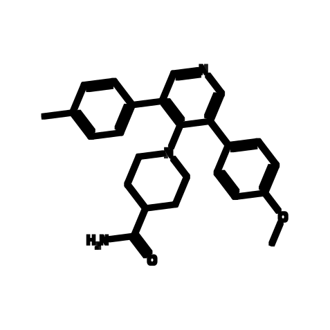 COc1ccc(-c2cncc(-c3ccc(C)cc3)c2N2CCC(C(N)=O)CC2)cc1